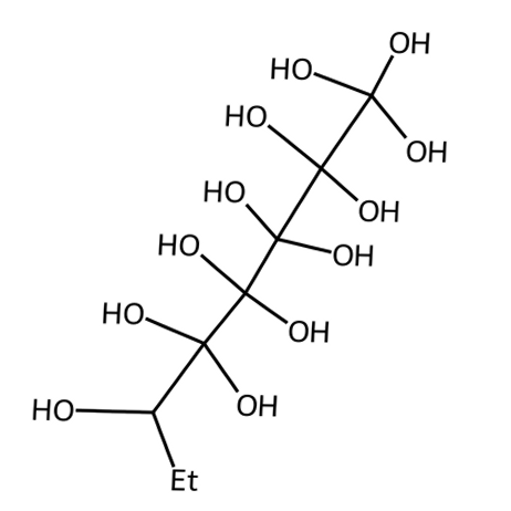 CCC(O)C(O)(O)C(O)(O)C(O)(O)C(O)(O)C(O)(O)O